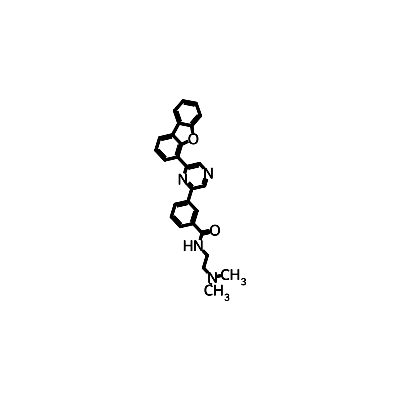 CN(C)CCNC(=O)c1cccc(-c2cncc(-c3cccc4c3oc3ccccc34)n2)c1